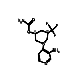 NC(=O)O[C@H]1C[C@@H](C(F)(F)F)CN(c2ccncc2N)C1